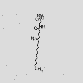 CCCCCCCCCCCCCCCC(=O)NCCS(=O)(=O)O.[Na]